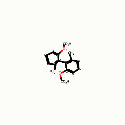 Cc1cccc(OC(=O)O)c1-c1c(C)cccc1OC(=O)O